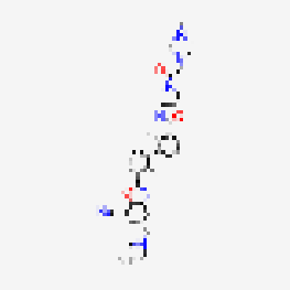 Cc1c(-c2nc3c(o2)CN(C(=O)CN2CCN(C)CC2)C3)cccc1-c1cccc(-c2nc3cc(CN4CC[C@H](C)C4)cc(C#N)c3o2)c1C